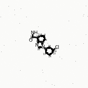 NC(=O)c1cccc2c1ncn2-c1cccc(Cl)c1